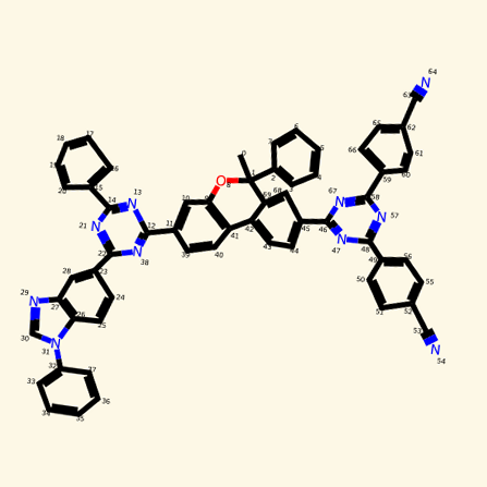 CC1(c2ccccc2)Oc2cc(-c3nc(-c4ccccc4)nc(-c4ccc5c(c4)ncn5-c4ccccc4)n3)ccc2-c2ccc(-c3nc(-c4ccc(C#N)cc4)nc(-c4ccc(C#N)cc4)n3)cc21